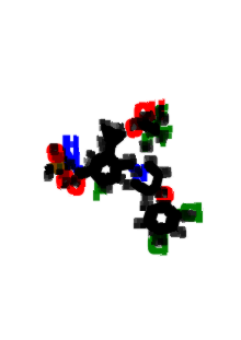 CS(=O)(=O)NC(=O)c1cc(C2CC2)c(CN2CCC(Oc3ccc(Cl)cc3Cl)CC2)cc1F.O=C(O)C(F)(F)F